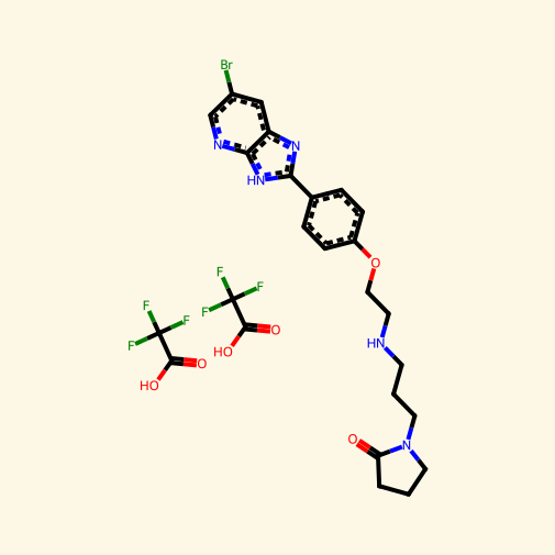 O=C(O)C(F)(F)F.O=C(O)C(F)(F)F.O=C1CCCN1CCCNCCOc1ccc(-c2nc3cc(Br)cnc3[nH]2)cc1